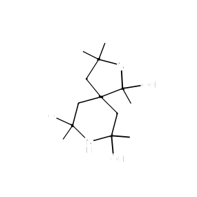 OC1(O)CC2(CC(O)(O)N1)CC(O)(O)NC2(O)O